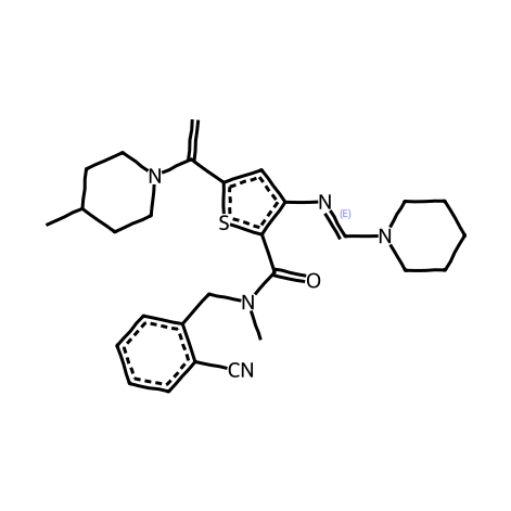 C=C(c1cc(/N=C/N2CCCCC2)c(C(=O)N(C)Cc2ccccc2C#N)s1)N1CCC(C)CC1